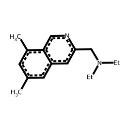 CCN(CC)Cc1cc2cc(C)cc(C)c2cn1